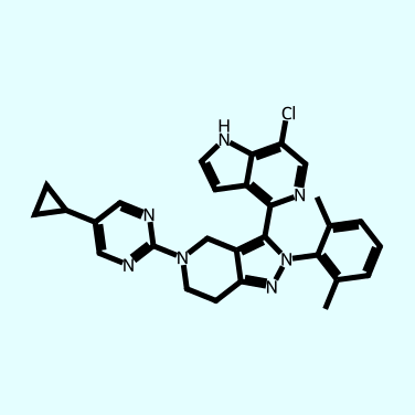 Cc1cccc(C)c1-n1nc2c(c1-c1ncc(Cl)c3[nH]ccc13)CN(c1ncc(C3CC3)cn1)CC2